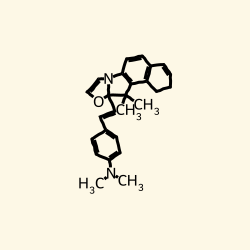 CN(C)c1ccc(/C=C/C23OC=CN2c2ccc4c(c2C3(C)C)CCC=C4)cc1